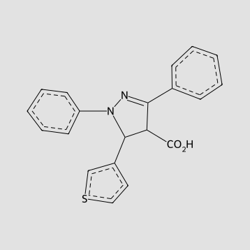 O=C(O)C1C(c2ccccc2)=NN(c2ccccc2)C1c1ccsc1